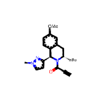 C#CC(=O)N1[C@@H](CCCC)Cc2cc(OC)ccc2[C@@H]1c1ccn(C)n1